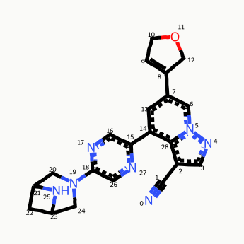 N#Cc1cnn2cc(C3=CCOC3)cc(-c3cnc(N4CC5CC(C4)N5)cn3)c12